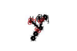 CC(C)(C)[Si](C)(C)O[C@@H](CCC1=CC[C@H](OC(=O)c2ccc(-c3ccccc3)cc2)[C@@H]1CCCCCCC(=O)O)COc1ccccc1